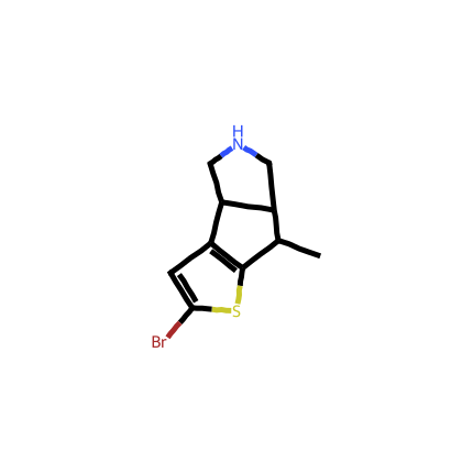 CC1c2sc(Br)cc2C2CNCC12